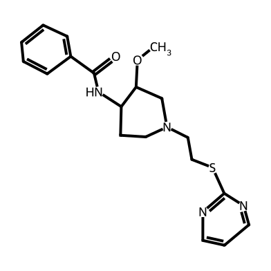 COC1CN(CCSc2ncccn2)CCC1NC(=O)c1ccccc1